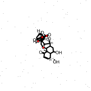 C[C@]12C(=O)C=C[C@@H](CO)C1C(O)CC1C2CC[C@@]2(O)C(=O)O[C@@]3(C)[C@H]4C[C@@]5(C)C6C(=O)[C@]1(OC[C@H]5C(=O)O4)O[C@]623